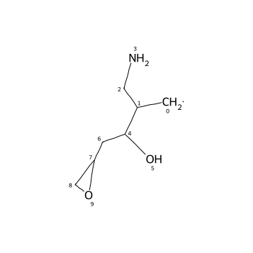 [CH2]C(CN)C(O)CC1CO1